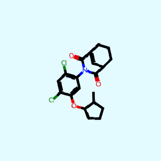 CC1CCCC1Oc1cc(N2C(=O)C3=CC(CCC3)C2=O)c(Cl)cc1Cl